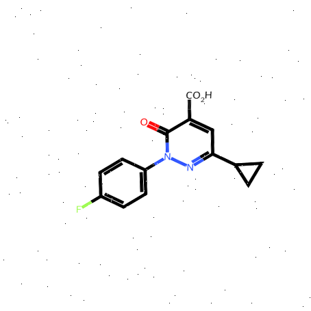 O=C(O)c1cc(C2CC2)nn(-c2ccc(F)cc2)c1=O